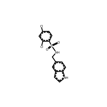 O=S(=O)(NCc1ccc2[nH]ccc2c1)c1ccc(Cl)cc1Cl